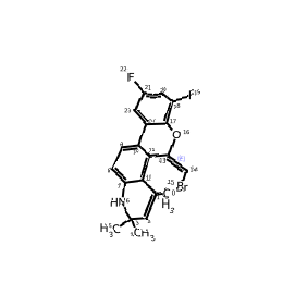 CC1=CC(C)(C)Nc2ccc3c(c21)/C(=C\Br)Oc1c(F)cc(F)cc1-3